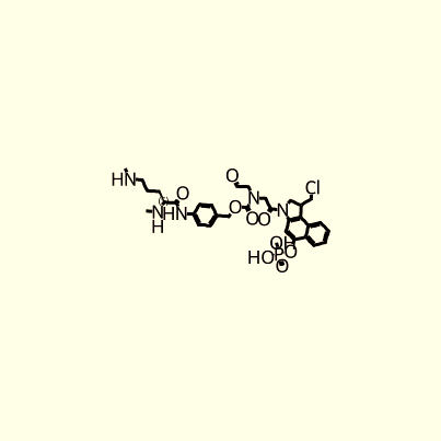 CNCCC[C@H](NC)C(=O)Nc1ccc(COC(=O)N(CC=O)CC(=O)N2CC(CCl)c3c2cc(OP(=O)(O)O)c2ccccc32)cc1